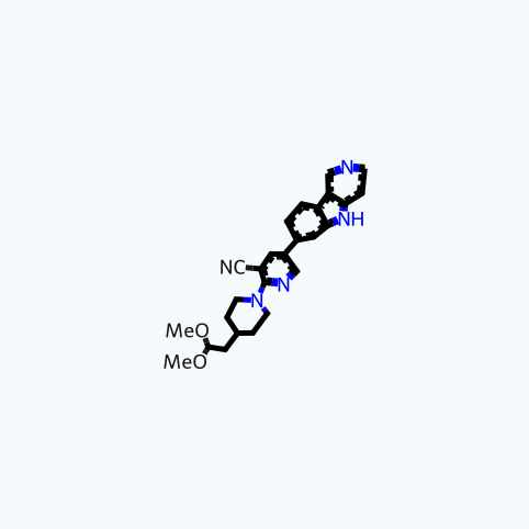 COC(CC1CCN(c2ncc(-c3ccc4c(c3)[nH]c3ccncc34)cc2C#N)CC1)OC